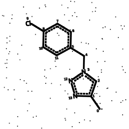 [CH2]c1cn(Cc2ccc(Cl)cc2)nn1